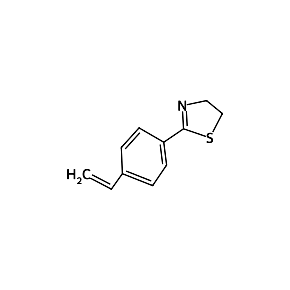 C=Cc1ccc(C2=NCCS2)cc1